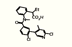 CCC(C(=O)O)c1ccccc1N(C)C(=O)c1ccc(Cl)c(-c2cnc(Cl)cc2C)c1